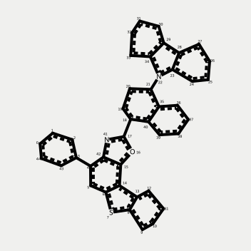 c1ccc(-c2cc3sc4ccccc4c3c3oc(-c4ccc(-n5c6ccccc6c6ccccc65)c5ccccc45)nc23)cc1